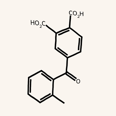 Cc1ccccc1C(=O)c1ccc(C(=O)O)c(C(=O)O)c1